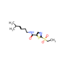 CCS(=O)(=O)c1ncc(C(=O)NCCC=CC(C)C)s1